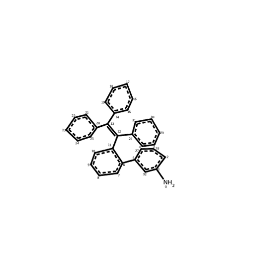 Nc1cccc(-c2ccccc2C(=C(c2ccccc2)c2ccccc2)c2ccccc2)c1